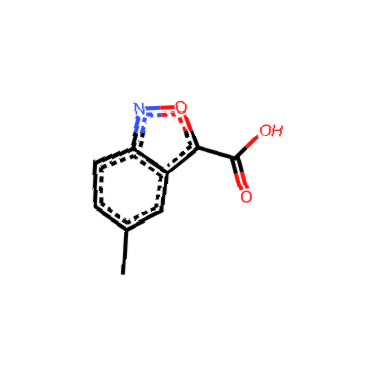 Cc1ccc2noc(C(=O)O)c2c1